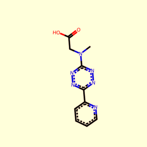 CN(CC(=O)O)c1nnc(-c2ccccn2)nn1